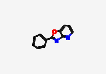 c1ccc(-c2nc3ncccc3o2)cc1